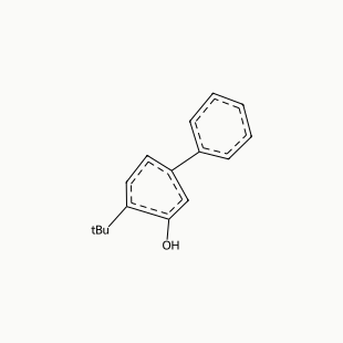 CC(C)(C)c1ccc(-c2ccccc2)cc1O